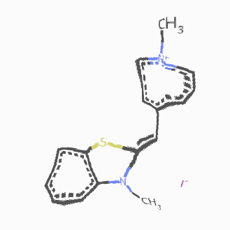 CN1/C(=C/c2cc[n+](C)cc2)Sc2ccccc21.[I-]